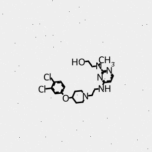 CN(CCO)c1nccc(NCCN2CCC(Oc3ccc(Cl)c(Cl)c3)CC2)n1